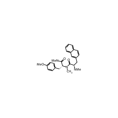 CNC(=O)[C@@H](Cc1ccc(OC)cc1)N(C)C(=O)[C@@H](Cc1ccc2ccccc2c1)NC